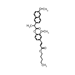 CCCCCOC(=O)/C=C/c1ccc(OC(=O)C(C)c2ccc3cc(OC)ccc3c2)c(OC)c1